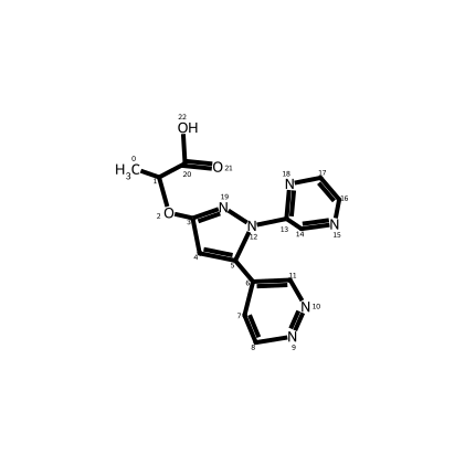 CC(Oc1cc(-c2ccnnc2)n(-c2cnccn2)n1)C(=O)O